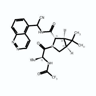 CC(C)(C)[C@H](NC(=O)C(F)(F)F)C(=O)N1C[C@H]2[C@@H]([C@H]1C(=O)NC(C#N)c1cccc3nnccc13)C2(C)C